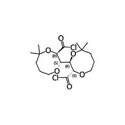 CC1(C)CCCO[C@H](C(=O)Cl)[C@@H]([C@@H]2OCCCC(C)(C)O[C@H]2C(=O)Cl)O1